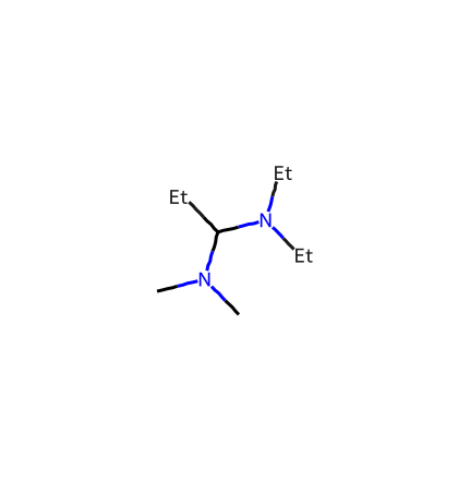 CCC(N(C)C)N(CC)CC